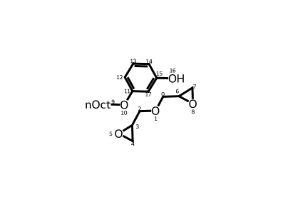 C(OCC1CO1)C1CO1.CCCCCCCCOc1cccc(O)c1